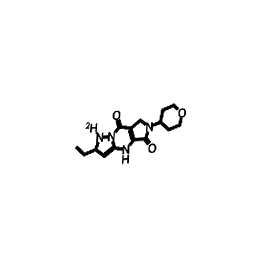 [2H]N1C(CC)C=C2NC3=C(CN(C4CCOCC4)C3=O)C(=O)N21